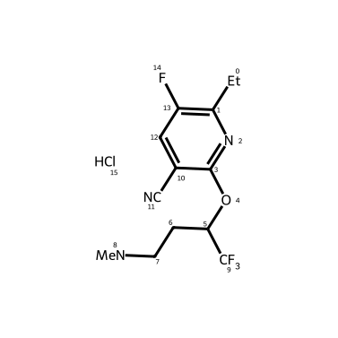 CCc1nc(OC(CCNC)C(F)(F)F)c(C#N)cc1F.Cl